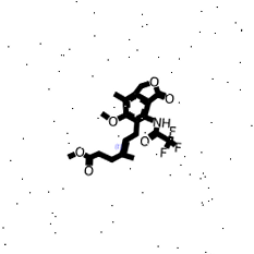 COC(=O)CC/C(C)=C/Cc1c(NC(=O)C(F)(F)F)c2c(c(C)c1OC)COC2=O